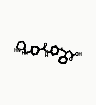 O=C(O)CC(Sc1ccc(NC(=O)c2ccc(NC3=CCCCN3)cc2)cc1)c1ccccc1